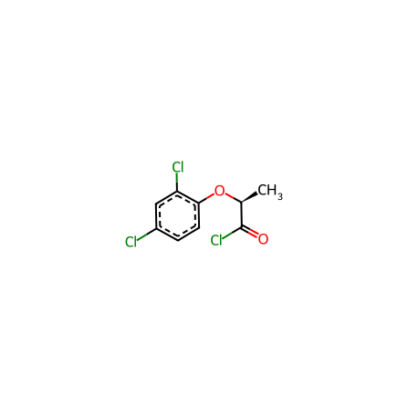 C[C@H](Oc1ccc(Cl)cc1Cl)C(=O)Cl